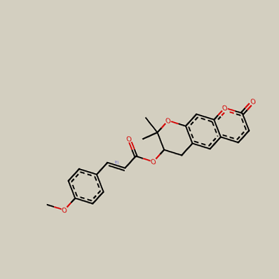 COc1ccc(/C=C/C(=O)OC2Cc3cc4ccc(=O)oc4cc3OC2(C)C)cc1